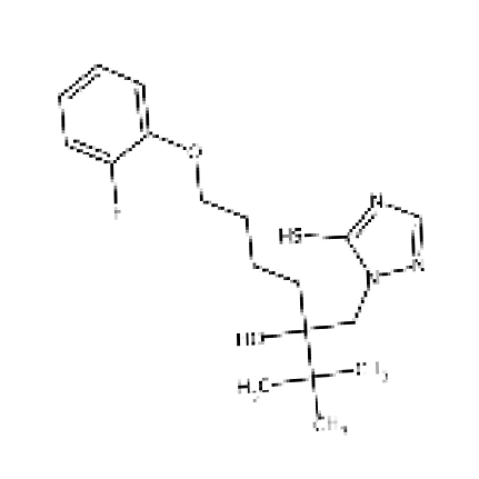 CC(C)(C)C(O)(CCCCOc1ccccc1F)Cn1ncnc1S